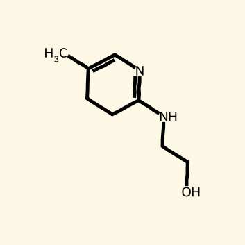 CC1=CN=C(NCCO)CC1